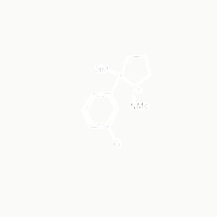 CN[C@H]1CCCC1(O)c1cccc(Cl)c1